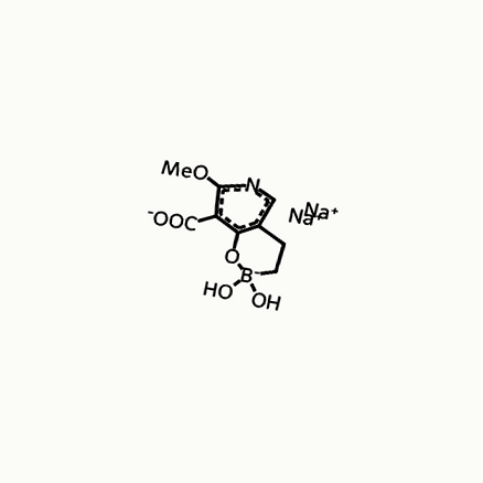 COc1ncc2c(c1C(=O)[O-])O[B-](O)(O)CC2.[Na+].[Na+]